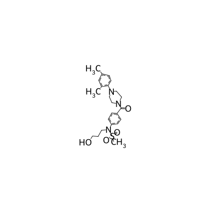 Cc1ccc(N2CCN(C(=O)c3ccc(N(CCCO)S(C)(=O)=O)cc3)CC2)c(C)c1